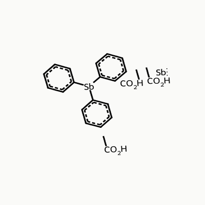 CC(=O)O.CC(=O)O.CC(=O)O.[Sb].c1cc[c]([Sb]([c]2ccccc2)[c]2ccccc2)cc1